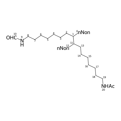 CCCCCCCCCC(CCCCCCCNC=O)C(CCCCCCCCC)CCCCCCCNC(C)=O